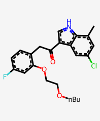 CCCCOCCOc1cc(F)ccc1CC(=O)c1c[nH]c2c(C)cc(Cl)cc12